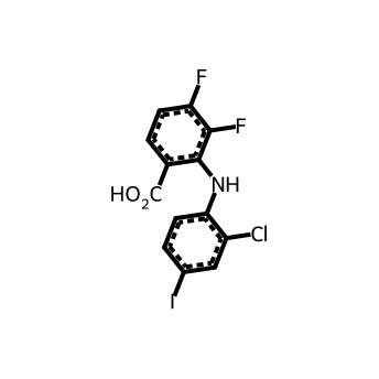 O=C(O)c1ccc(F)c(F)c1Nc1ccc(I)cc1Cl